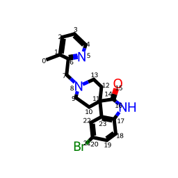 Cc1cccnc1CN1CCC2(CC1)C(=O)Nc1ccc(Br)cc12